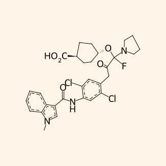 Cn1cc(C(=O)Nc2cc(Cl)c(CC(=O)C(F)(O[C@H]3CC[C@H](C(=O)O)CC3)N3CCCC3)cc2Cl)c2ccccc21